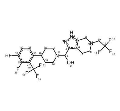 OC(c1n[nH]c2c1CCN(CC(F)(F)F)C2)N1CCC(c2ccc(F)c(F)c2C(F)(F)F)CC1